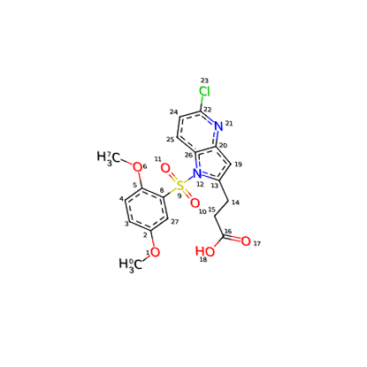 COc1ccc(OC)c(S(=O)(=O)n2c(CCC(=O)O)cc3nc(Cl)ccc32)c1